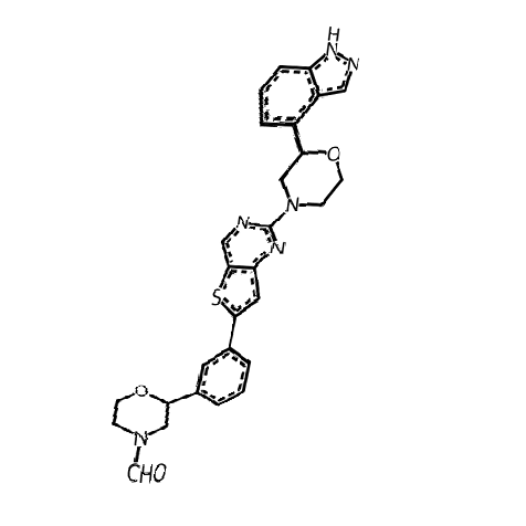 O=CN1CCOC(c2cccc(-c3cc4nc(N5CCOC(c6cccc7[nH]ncc67)C5)ncc4s3)c2)C1